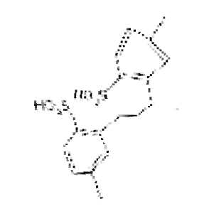 Cc1ccc(S(=O)(=O)O)c(CC[C@@H](C)c2cc(C)ccc2S(=O)(=O)O)c1